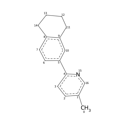 Cc1ccc(-c2ccc3c(c2)[CH]CCC3)nc1